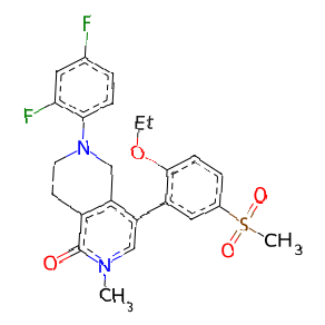 CCOc1ccc(S(C)(=O)=O)cc1-c1cn(C)c(=O)c2c1CN(c1ccc(F)cc1F)CC2